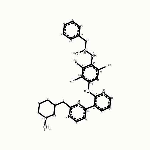 CN1CCCC(Cc2nccc(-c3cccnc3Oc3cc(F)c(N[S+]([O-])Cc4ccccc4)c(F)c3F)n2)C1